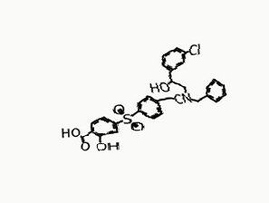 O=C(O)c1ccc(S(=O)(=O)c2ccc(CCN(Cc3ccccc3)CC(O)c3cccc(Cl)c3)cc2)cc1O